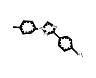 Cc1ccc(-[15n]2c[15n]c(-c3ccc(N)cc3)[15n]2)cc1